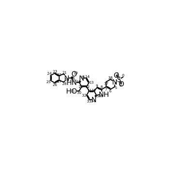 CS(=O)(=O)N1CC=C(c2cc3c(-c4ccnc(NC(=O)N5Cc6ccccc6C5)c4CO)ccnc3[nH]2)CC1